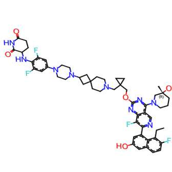 CCc1c(F)ccc2cc(O)cc(-c3ncc4c(N5CCC[C@@](C)(O)C5)nc(OCC5(CN6CCC7(CC6)CC(N6CCN(c8cc(F)c(NC9CCC(=O)NC9=O)c(F)c8)CC6)C7)CC5)nc4c3F)c12